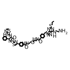 CCCSc1nc(NCCN)c2nnn(Cc3ccc(C(=O)NCCOCCNC(=O)c4ccc(-c5csc(N6N=C(c7ccccc7)/C(=N\Nc7nccs7)C6=O)n5)cc4)cc3)c2n1